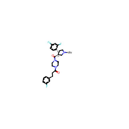 CC(C)(C)N1C[C@@H](C(=O)N2CCN(C(=O)CCc3cccc(F)c3)CC2)[C@H](c2ccc(F)cc2F)C1